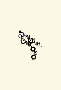 N#C/C(=C/C1CC1)C(=O)N1CCCC(n2nc(-c3ccc(Oc4ccccc4)cc3)c3c(N)ncnc32)C1